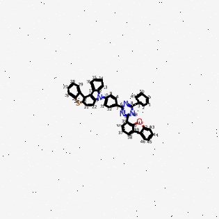 c1ccc(-c2nc(-c3ccc(-n4c5ccccc5c5c6c(ccc54)sc4ccccc46)cc3)nc(-c3cccc4c3oc3ccccc34)n2)cc1